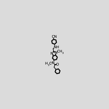 CN(C(=O)Cc1ccccc1)c1ccc2c(c1)nc(CNc1ccc(C#N)cc1)n2C